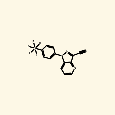 N#Cc1nn(-c2ccc(S(F)(F)(F)(F)F)cc2)c2cccnc12